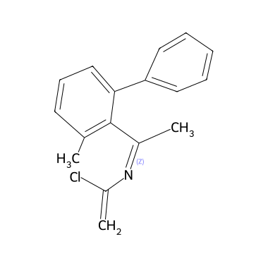 C=C(Cl)/N=C(/C)c1c(C)cccc1-c1ccccc1